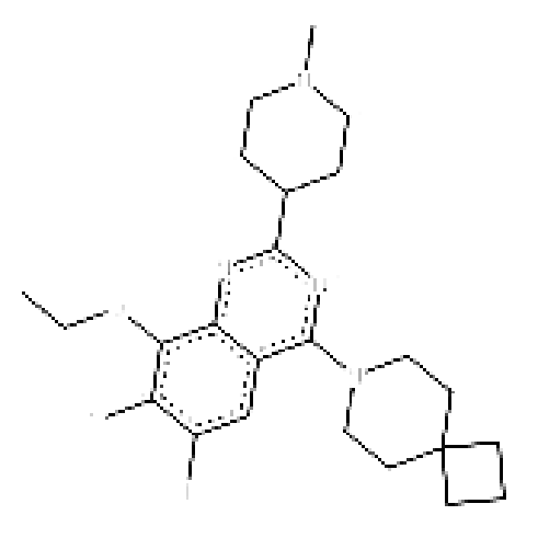 CCOc1c(Br)c(I)cc2c(N3CCC4(CCC4)CC3)nc(C3CCN(C)CC3)nc12